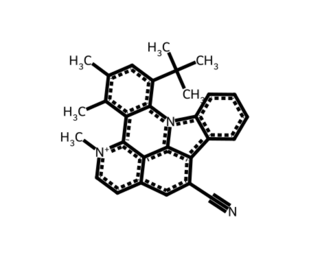 Cc1cc(C(C)(C)C)c2c(c1C)c1c3c(cc[n+]1C)cc(C#N)c1c4ccccc4n2c13